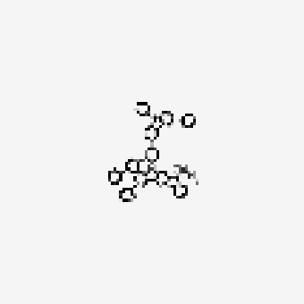 CC1(C)c2ccccc2-c2cc3c4cc(-c5ccccc5)ccc4n(-c4ccc(-c5ccc6c(c5)c5cc(-c7ccccc7)ccc5n6-c5ccccc5)cc4-c4ccc(-c5ccccc5)cc4)c3cc21